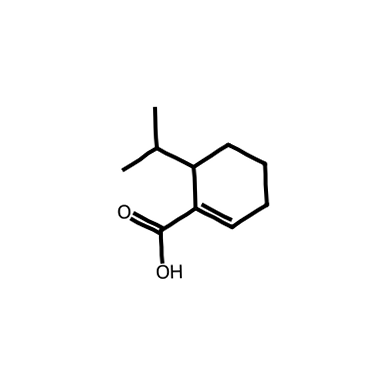 CC(C)C1CCCC=C1C(=O)O